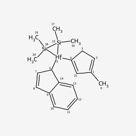 CC1=CC[C]([Hf]2([CH]3C=Cc4ccccc43)[Si](C)(C)[Si]2(C)C)=C1